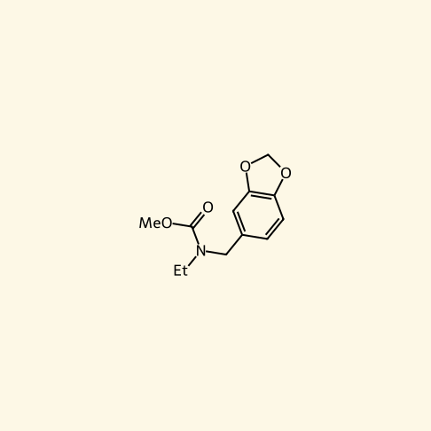 CCN(Cc1ccc2c(c1)OCO2)C(=O)OC